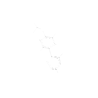 CCc1nc(-c2ccc(C(F)(F)F)cc2C(F)(F)F)c(CC)nc1OC(CC)CC